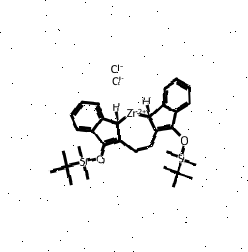 CC(C)(C)[Si](C)(C)OC1=C2CCC3=C(O[Si](C)(C)C(C)(C)C)c4ccccc4[C@H]3[Zr+2][C@H]2c2ccccc21.[Cl-].[Cl-]